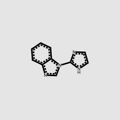 c1ccc2c(c1)ncn2-c1ncc[nH]1